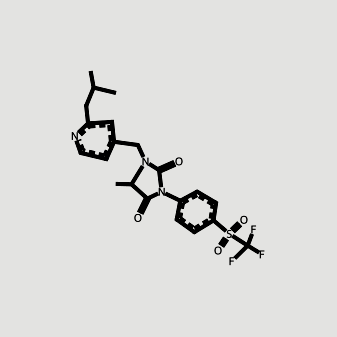 CC(C)Cc1cc(CN2C(=O)N(c3ccc(S(=O)(=O)C(F)(F)F)cc3)C(=O)C2C)ccn1